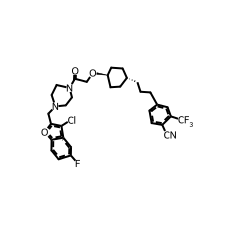 N#Cc1ccc(CCC[C@H]2CC[C@H](OCC(=O)N3CCN(Cc4oc5ccc(F)cc5c4Cl)CC3)CC2)cc1C(F)(F)F